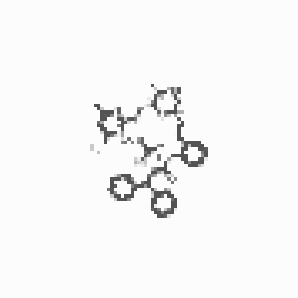 COC(=O)N[C@H](C(=O)Nc1ccccc1CC[C@@H]1CN[C@H](C)[C@@H](CSc2nc(C)cc(C(F)(F)F)n2)O1)C(c1ccccc1)c1ccccc1